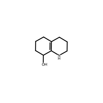 OC1CCCC2=C1NCCC2